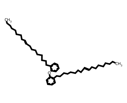 CCCCCCCCC=CCCCCCCCCc1ccccc1Oc1ccccc1CCCCCCCCC=CCCCCCCCC